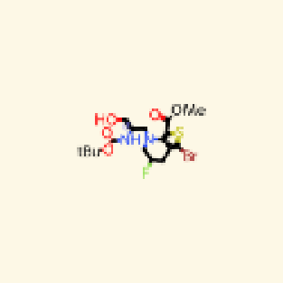 COC(=O)c1sc(Br)c2c1N(C/C(=C/O)NC(=O)OC(C)(C)C)CC(F)C2